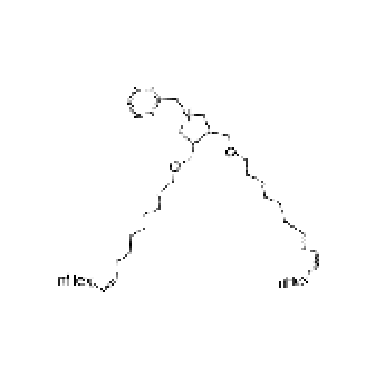 CCCCCC/C=C\CCCCCCCCOCC1CN(Cc2ccccc2)CC1COCCCCCCCC/C=C\CCCCCC